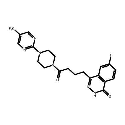 O=C(CCCc1n[nH]c(=O)c2ccc(F)cc12)N1CCN(c2ncc(C(F)(F)F)cn2)CC1